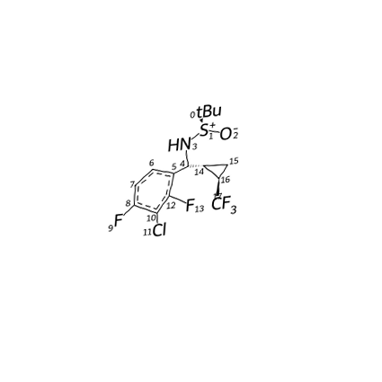 CC(C)(C)[S@@+]([O-])NC(c1ccc(F)c(Cl)c1F)[C@@H]1C[C@H]1C(F)(F)F